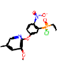 CCP(=O)(Cl)c1cc(Oc2ncc(C)cc2OC)ccc1[N+](=O)[O-]